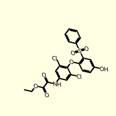 CCOC(=O)C(=O)Nc1cc(Cl)c(Oc2ccc(O)cc2S(=O)(=O)c2ccccc2)c(Cl)c1